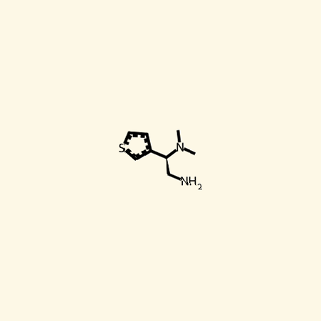 CN(C)[C@@H](CN)c1ccsc1